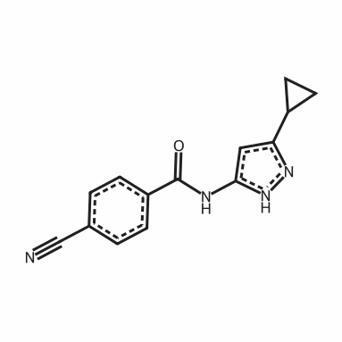 N#Cc1ccc(C(=O)Nc2cc(C3CC3)n[nH]2)cc1